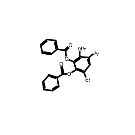 CCCc1c(C(C)C)cc(CC)c(OC(=O)c2ccccc2)c1OC(=O)c1ccccc1